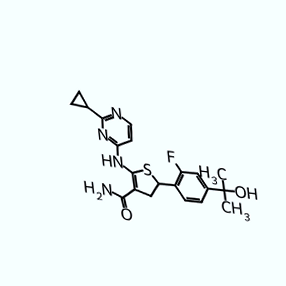 CC(C)(O)c1ccc(C2CC(C(N)=O)=C(Nc3ccnc(C4CC4)n3)S2)c(F)c1